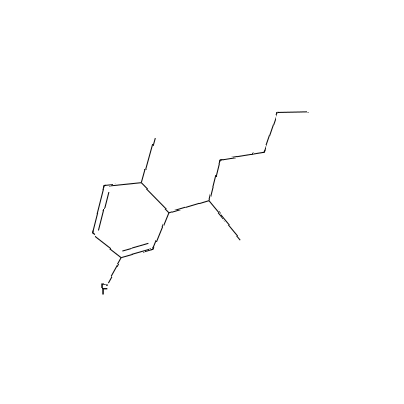 CCCCC(C)C1C=C(F)C=CC1C